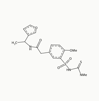 CNC(=S)NS(=O)(=O)c1cc(CC(=O)NC(C)c2ccoc2)ccc1OC